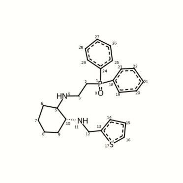 O=P(CCNC1CCCC[C@H]1NCc1cccs1)(c1ccccc1)c1ccccc1